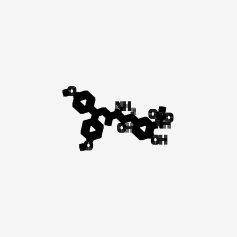 COc1ccc(C(CC(C)C(N)[C@H](O)Cc2ccc(O)c(NS(C)(=O)=O)c2)c2ccc(OC)cc2)cc1